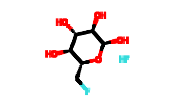 F.O[C@@H]1[C@@H](O)[C@@H](O)O[C@H](CF)[C@H]1O